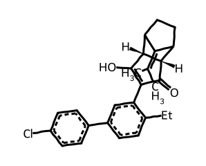 CCc1ccc(-c2ccc(Cl)cc2)cc1C1=C(O)[C@@H]2C3CCC(C3=C(C)C)[C@@H]2C1=O